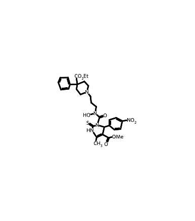 CCOC(=O)C1(c2ccccc2)CCN(CCCN(O)C(=O)N2C(=S)NC(C)=C(C(=O)OC)C2c2ccc([N+](=O)[O-])cc2)CC1